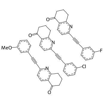 COc1cccc(C#Cc2ccc3c(n2)CCCC3=O)c1.O=C1CCCc2nc(C#Cc3cccc(Cl)c3)ccc21.O=C1CCCc2nc(C#Cc3cccc(F)c3)ccc21